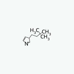 CC(C)(C)CCC1C=CN=C1